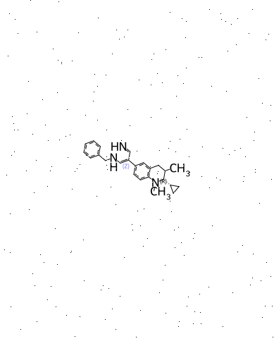 CC1Cc2cc(/C(C=N)=C/NCc3ccccc3)ccc2N(C)[C@H]1C1CC1